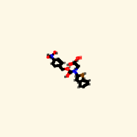 O=C(O)CN(C(=O)OCc1ccc([N+](=O)[O-])cc1)c1cc2ccccc2s1